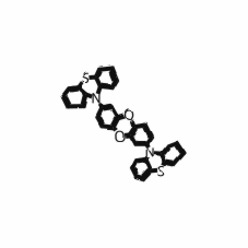 c1ccc2c(c1)Sc1ccccc1N2c1ccc2c(c1)Oc1ccc(N3c4ccccc4Sc4ccccc43)cc1O2